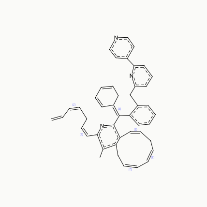 C=C/C=C\C/C=C\c1nc(/C(=C2\C=CC=CC2)c2ccccc2Cc2cccc(-c3ccncc3)n2)c2c(c1C)C/C=C\C=C/C/C=C\2